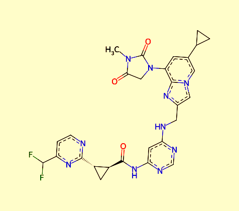 CN1C(=O)CN(c2cc(C3CC3)cn3cc(CNc4cc(NC(=O)[C@H]5C[C@@H]5c5nccc(C(F)F)n5)ncn4)nc23)C1=O